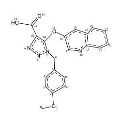 COc1ccc(Cn2nnc(C(=O)O)c2Oc2cnc3ccccc3c2)cc1